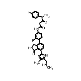 CNCc1[nH]c(-c2ccc(-c3ccc(NC(=O)CC(=O)N(C)c4ccc(F)cc4)cc3F)c3c2C(=O)NC3)nc1C